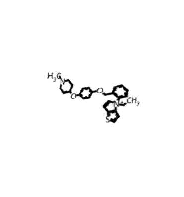 CC[N+]1(c2ccccc2COc2ccc(OC3CCN(C)CC3)cc2)C=Cc2sccc21